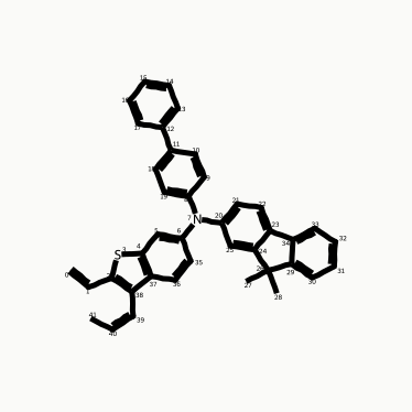 C=Cc1sc2cc(N(c3ccc(-c4ccccc4)cc3)c3ccc4c(c3)C(C)(C)c3ccccc3-4)ccc2c1/C=C\C